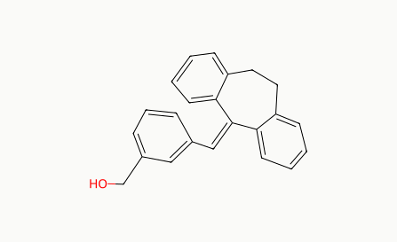 OCc1cccc(C=C2c3ccccc3CCc3ccccc32)c1